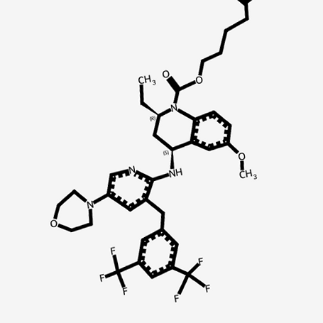 CC[C@@H]1C[C@H](Nc2ncc(N3CCOCC3)cc2Cc2cc(C(F)(F)F)cc(C(F)(F)F)c2)c2cc(OC)ccc2N1C(=O)OCCCCC(=O)O